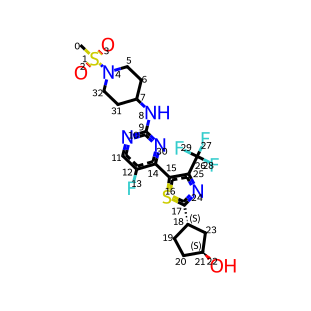 CS(=O)(=O)N1CCC(Nc2ncc(F)c(-c3sc([C@H]4CC[C@H](O)C4)nc3C(F)(F)F)n2)CC1